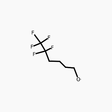 [O]CCCCC(F)(F)C(F)(F)F